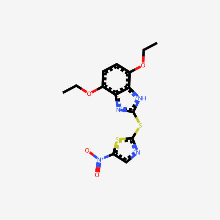 CCOc1ccc(OCC)c2[nH]c(Sc3ncc([N+](=O)[O-])s3)nc12